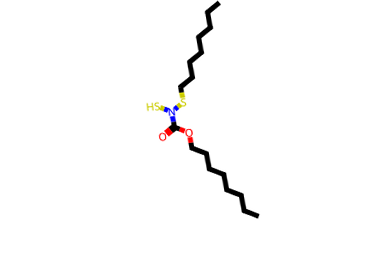 CCCCCCCCOC(=O)N(S)SCCCCCCCC